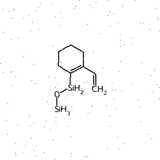 C=CC1=C([SiH2]O[SiH3])CCCC1